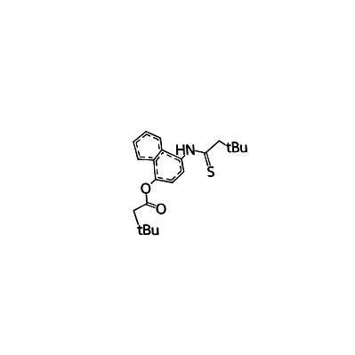 CC(C)(C)CC(=O)Oc1ccc(NC(=S)CC(C)(C)C)c2ccccc12